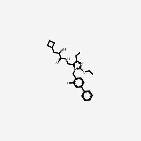 CCOc1nc(CC)c(CNC(=O)C(S)CC2CCC2)n1Cc1ccc(-c2ccccc2)cc1F